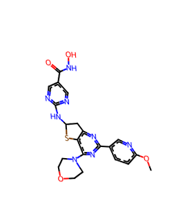 COc1ccc(-c2nc3c(c(N4CCOCC4)n2)SC(Nc2ncc(C(=O)NO)cn2)C3)cn1